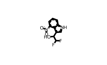 O=[N+]([O-])c1cccc2[nH]cc(C(O)C(F)F)c12